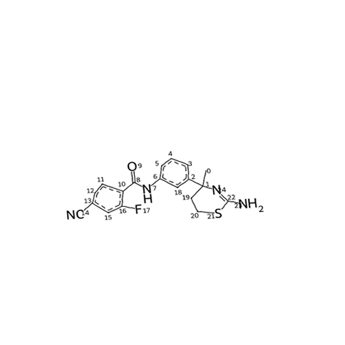 CC1(c2cccc(NC(=O)c3ccc(C#N)cc3F)c2)CCSC(N)=N1